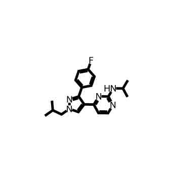 CC(C)Cn1cc(-c2ccnc(NC(C)C)n2)c(-c2ccc(F)cc2)n1